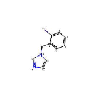 Ic1ccccc1Cn1ccnc1